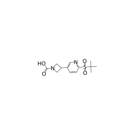 CC(C)(C)S(=O)(=O)c1ccc(C2CN(C(=O)O)C2)cn1